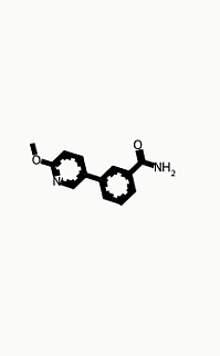 COc1ccc(-c2c[c]cc(C(N)=O)c2)cn1